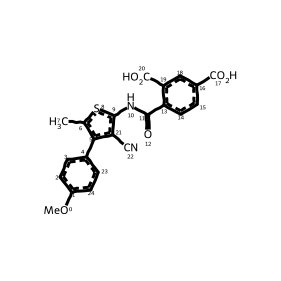 COc1ccc(-c2c(C)sc(NC(=O)c3ccc(C(=O)O)cc3C(=O)O)c2C#N)cc1